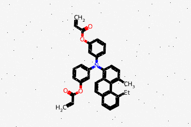 C=CC(=O)Oc1cccc(N(c2cccc(OC(=O)C=C)c2)c2ccc(C)c3c4c(ccc23)C=C=C=C4CC)c1